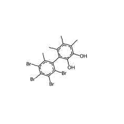 Cc1c(C)c(O)c(O)c(-c2c(C)c(Br)c(Br)c(Br)c2Br)c1C